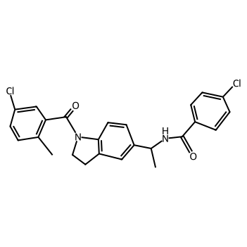 Cc1ccc(Cl)cc1C(=O)N1CCc2cc(C(C)NC(=O)c3ccc(Cl)cc3)ccc21